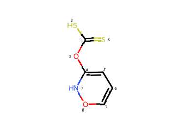 S=C(S)OC1=CC=CON1